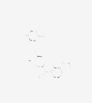 CCC(=O)Nc1cccn([C@@H](CC)C(=O)N[C@@H](CC(=O)O)C(=O)COc2c(F)c(F)cc(F)c2F)c1=O